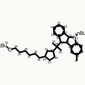 CCCCN1c2ccc(C)cc2C2C1c1ccccc1C2C(C)(C)C1CCC(CCCCCCOC(C)(C)C)C1